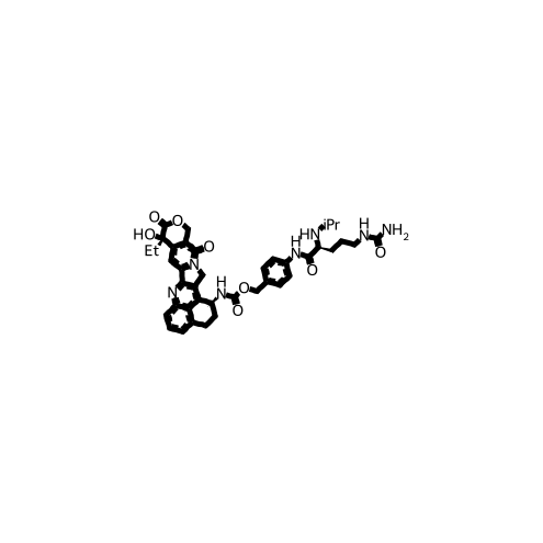 CC[C@@]1(O)C(=O)OCc2c1cc1n(c2=O)Cc2c-1nc1cccc3c1c2[C@@H](NC(=O)OCc1ccc(NC(=O)[C@H](CCCNC(N)=O)NC(C)C)cc1)CC3